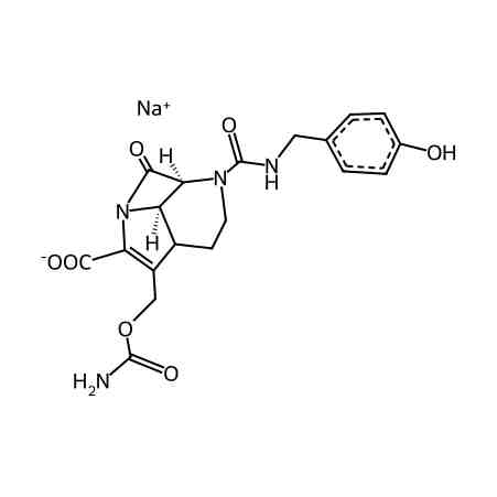 NC(=O)OCC1=C(C(=O)[O-])N2C(=O)[C@@H]3[C@H]2C1CCN3C(=O)NCc1ccc(O)cc1.[Na+]